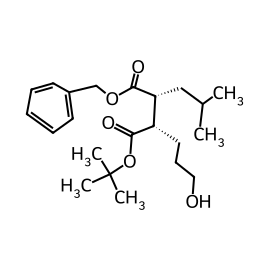 CC(C)C[C@@H](C(=O)OCc1ccccc1)[C@H](CCCO)C(=O)OC(C)(C)C